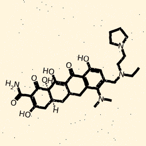 CCN(CCN1CCCC1)Cc1cc(O)c2c(c1N(C)C)CC1C[C@H]3CC(O)=C(C(N)=O)C(=O)[C@@]3(O)C(O)=C1C2=O